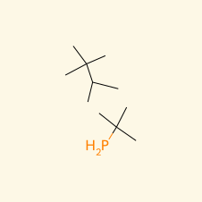 CC(C)(C)P.CC(C)C(C)(C)C